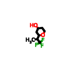 CC(C1CC(O)CCO1)C(F)(F)F